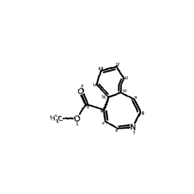 COC(=O)C1=CC=NC=Cc2ccccc21